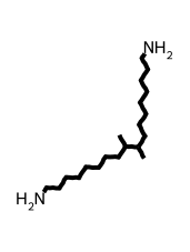 CC(CCCCCCCCN)C(C)CCCCCCCCN